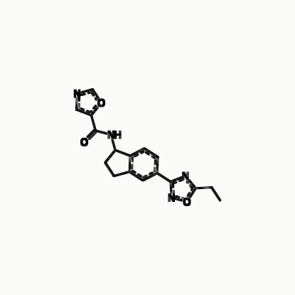 CCc1nc(-c2ccc3c(c2)CCC3NC(=O)c2cnco2)no1